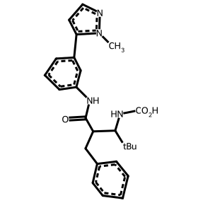 Cn1nccc1-c1cccc(NC(=O)C(Cc2ccccc2)C(NC(=O)O)C(C)(C)C)c1